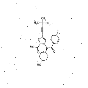 CC(C)(C)C#Cc1cc(N(C(=O)c2ccc(F)cc2)[C@H]2CC[C@H](O)CC2)c(C(=O)O)s1